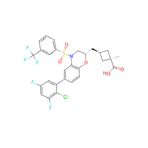 C[C@]1(C(=O)O)C[C@@H](C[C@H]2CN(S(=O)(=O)c3cccc(C(F)(F)F)c3)c3cc(-c4cc(F)cc(F)c4Cl)ccc3O2)C1